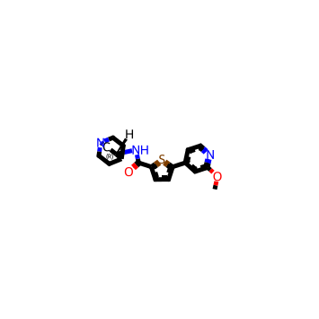 COc1cc(-c2ccc(C(=O)N[C@H]3CN4CCC3CC4)s2)ccn1